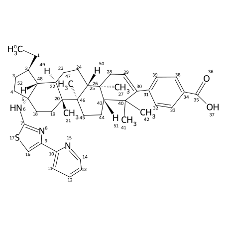 CC[C@@H]1CC[C@]2(Nc3nc(-c4ccccn4)cs3)CC[C@]3(C)[C@H](CC[C@@H]4[C@@]5(C)CC=C(c6ccc(C(=O)O)cc6)C(C)(C)[C@@H]5CC[C@]43C)[C@@H]12